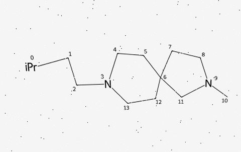 CC(C)CCN1CCC2(CCN(C)C2)CC1